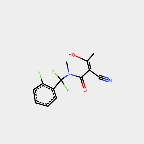 CC(O)=C(C#N)C(=O)N(C)C(F)(F)c1ccccc1F